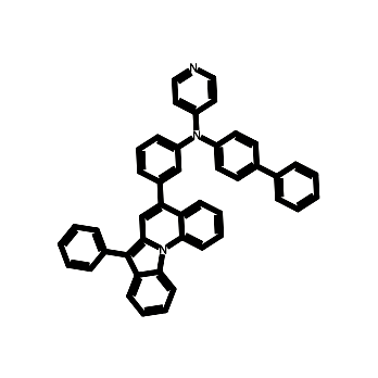 c1ccc(-c2ccc(N(c3ccncc3)c3cccc(-c4cc5c(-c6ccccc6)c6ccccc6n5c5ccccc45)c3)cc2)cc1